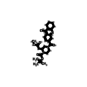 COC(=O)CC1CN(C(=O)c2ccc3c(Cl)c4c(nc3c2)CCCC4)CCN1C(=O)OC(C)(C)C